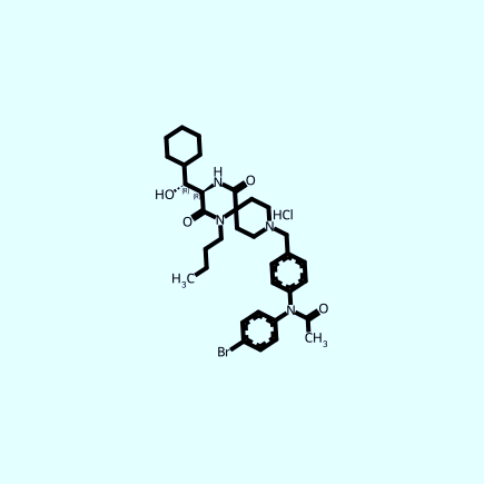 CCCCN1C(=O)[C@@H]([C@H](O)C2CCCCC2)NC(=O)C12CCN(Cc1ccc(N(C(C)=O)c3ccc(Br)cc3)cc1)CC2.Cl